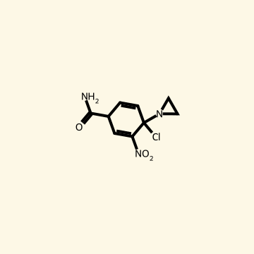 NC(=O)C1C=CC(Cl)(N2CC2)C([N+](=O)[O-])=C1